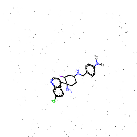 CCN(CC)c1ccc(CNC2CCC(N)(c3ccnc4cc(Cl)ccc34)C(I)C2)cc1